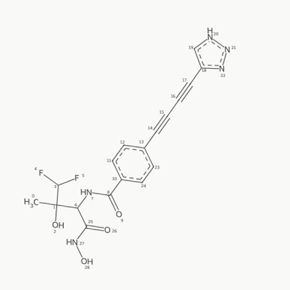 CC(O)(C(F)F)C(NC(=O)c1ccc(C#CC#Cc2c[nH]nn2)cc1)C(=O)NO